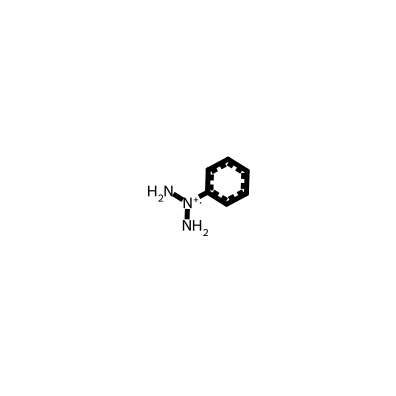 N[N+](N)c1ccccc1